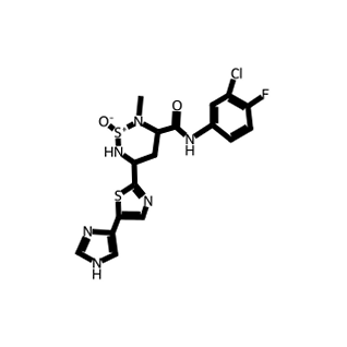 CN1C(C(=O)Nc2ccc(F)c(Cl)c2)CC(c2ncc(-c3c[nH]cn3)s2)N[S+]1[O-]